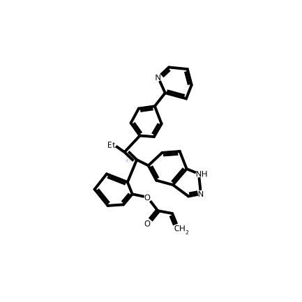 C=CC(=O)Oc1ccccc1/C(=C(\CC)c1ccc(-c2ccccn2)cc1)c1ccc2[nH]ncc2c1